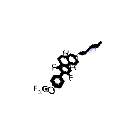 C/C=C/CC[C@@H]1CC[C@@H]2c3cc(F)c(-c4ccc(OC(F)(F)F)cc4)c(F)c3CC[C@@H]2C1